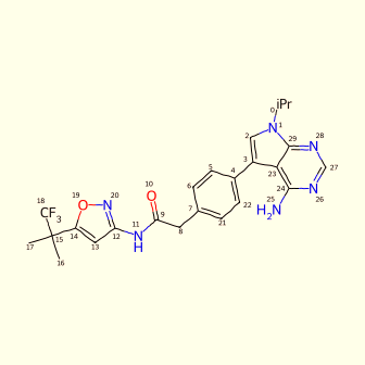 CC(C)n1cc(-c2ccc(CC(=O)Nc3cc(C(C)(C)C(F)(F)F)on3)cc2)c2c(N)ncnc21